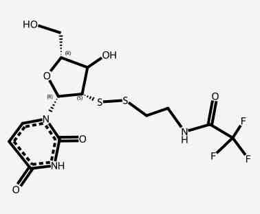 O=C(NCCSS[C@H]1C(O)[C@@H](CO)O[C@H]1n1ccc(=O)[nH]c1=O)C(F)(F)F